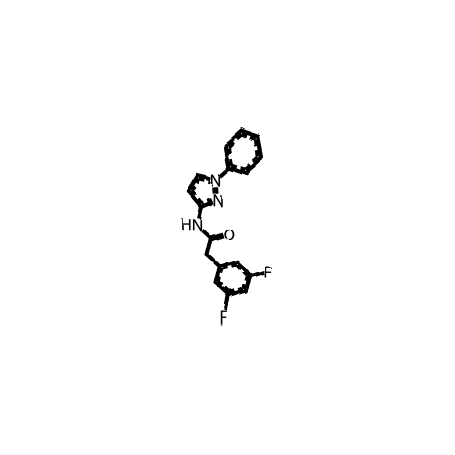 O=C(Cc1cc(F)cc(F)c1)Nc1ccn(-c2ccccc2)n1